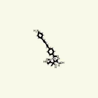 CC(O)(c1c[nH]nn1)C(NC(=O)c1ccc(C#CC#Cc2ccc(N)cc2)cc1)C(=O)NO